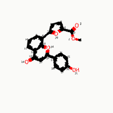 COC(=O)c1ccc(-c2cccc3c(=O)cc(-c4ccc(O)cc4)oc23)o1